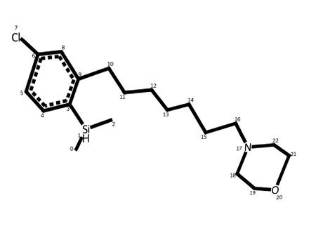 C[SiH](C)c1ccc(Cl)cc1CCCCCCCN1CCOCC1